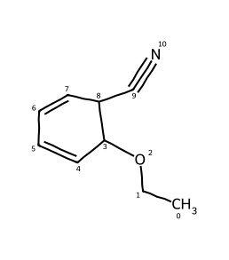 CCOC1C=CC=CC1C#N